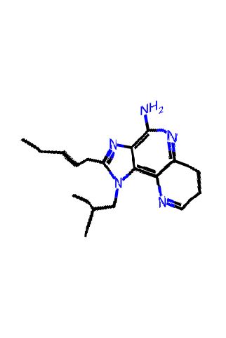 CCCCc1nc2c(N)nc3c(c2n1CC(C)C)N=CCC3